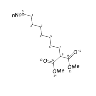 CCCCCCCCCCCCCCCCC(C(=O)OC)C(=O)OC